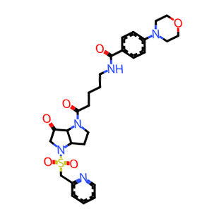 O=C(NCCCCC(=O)N1CCC2C1C(=O)CN2S(=O)(=O)Cc1ccccn1)c1ccc(N2CCOCC2)cc1